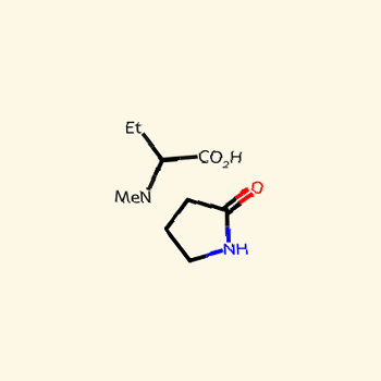 CCC(NC)C(=O)O.O=C1CCCN1